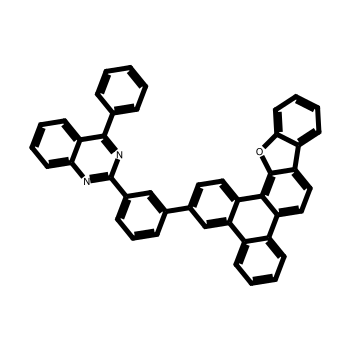 c1ccc(-c2nc(-c3cccc(-c4ccc5c(c4)c4ccccc4c4ccc6c7ccccc7oc6c45)c3)nc3ccccc23)cc1